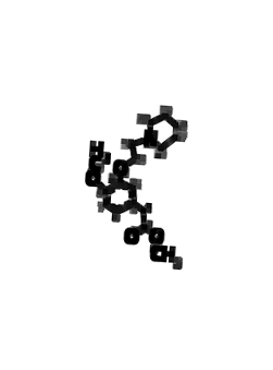 COC(=O)Cc1ccc(OC)c(OCCN2CCCCC2)c1